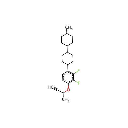 C#CC(C)Oc1ccc(C2CCC(C3CCC(C)CC3)CC2)c(F)c1F